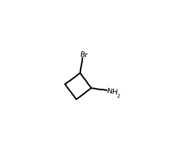 NC1CCC1Br